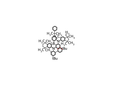 Cc1cc2c(cc1N1c3cc(C(C)(C)c4ccccc4)ccc3B3c4cc5c(cc4N(c4ccc(C(C)(C)C)cc4-c4ccccc4)c4cc(C(C)(C)C)cc1c43)C(C)(C)CCC5(C)C)C(C)(C)CC2(C)C